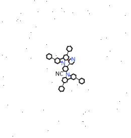 N#Cc1cc(-n2c3ccc(-c4ccccc4)cc3c3cc(-c4ccccc4)ccc32)c(-c2ccncc2)cc1-n1c2ccc(-c3ccccc3)cc2c2cc(-c3ccccc3)ccc21